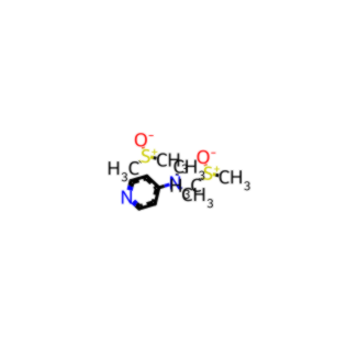 CN(C)c1ccncc1.C[S+](C)[O-].C[S+](C)[O-]